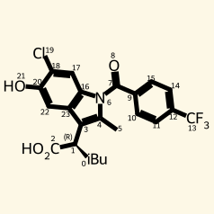 CCC(C)[C@@H](C(=O)O)c1c(C)n(C(=O)c2ccc(C(F)(F)F)cc2)c2cc(Cl)c(O)cc12